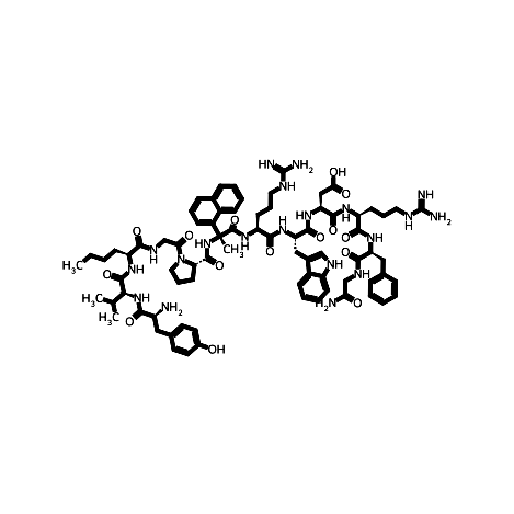 CCCC[C@H](NC(=O)[C@@H](NC(=O)[C@@H](N)Cc1ccc(O)cc1)C(C)C)C(=O)NCC(=O)N1CCC[C@H]1C(=O)N[C@@](C)(C(=O)N[C@@H](CCCNC(=N)N)C(=O)N[C@@H](Cc1c[nH]c2ccccc12)C(=O)N[C@@H](CC(=O)O)C(=O)N[C@@H](CCCNC(=N)N)C(=O)N[C@@H](Cc1ccccc1)C(=O)NCC(N)=O)c1cccc2ccccc12